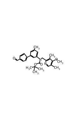 COc1c(C)cnc(CN(C(=O)OC(C)(C)C)c2cc(C)cc(-c3ccc(C=O)cc3)c2)c1C